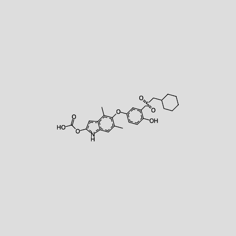 Cc1cc2[nH]c(OC(=O)O)cc2c(C)c1Oc1ccc(O)c(S(=O)(=O)CC2CCCCC2)c1